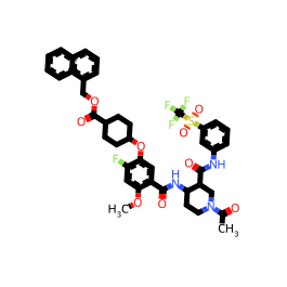 COc1cc(F)c(OC2CCC(C(=O)OCc3cccc4ccccc34)CC2)cc1C(=O)NC1CCN(C(C)=O)CC1C(=O)Nc1cccc(S(=O)(=O)C(F)(F)F)c1